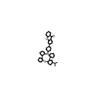 CC(C)c1ccc2c(c1)-c1ccccc1N(c1ccc(-c3ccc4c(=O)c5ccccc5oc4c3)cc1)c1ccccc1-c1ccccc1O2